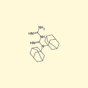 N=C(N)NC(=N)N(C12CC3CC(CC(C3)C1)C2)C12CC3CC(CC(C3)C1)C2